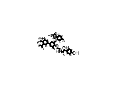 Cc1cc(-c2ccc(C(=O)O)c(C(C)C)c2)cc(C)c1OCCN[C@@H](C)[C@H](O)c1ccc(O)cc1.Cc1ccc(S(=O)(=O)O)cc1